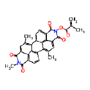 C=C(C)C(=O)ON1C(=O)c2ccc3c4c(C)cc5c6c(ccc(c7c(C)cc(c2c37)C1=O)c64)C(=O)N(C)C5=O